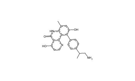 Cc1cc(O)c(-c2ccc(C(C)CN)cc2)c2c1[nH]c(=O)c1c(O)ccnc12